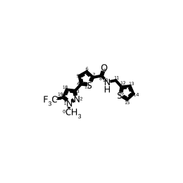 Cn1nc(-c2ccc(C(=O)NCc3cccs3)s2)cc1C(F)(F)F